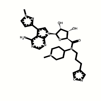 CN1CCC(N(CCCc2cnoc2)C(=O)[C@H]2O[C@@H](n3cc(-c4ccn(C)n4)c4c(N)ncnc43)[C@H](O)[C@@H]2O)CC1